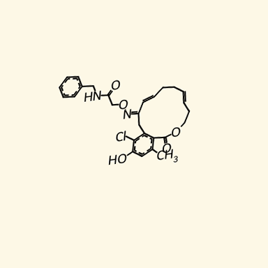 Cc1cc(O)c(Cl)c2c1C(=O)OCC/C=C/CC/C=C/C(=N\OCC(=O)NCc1ccccc1)C2